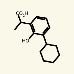 CC(C(=O)O)c1cccc(C2CCCCC2)c1O